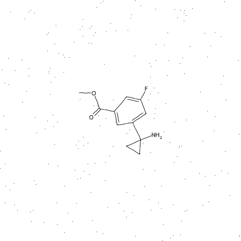 COC(=O)c1cc(F)cc(C2(N)CC2)c1